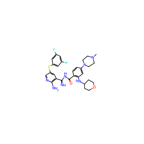 CN1CCN(c2ccc(C(=O)NC(=N)c3cc(Sc4cc(F)cc(F)c4)cnc3N)c(NC3CCOCC3)c2)CC1